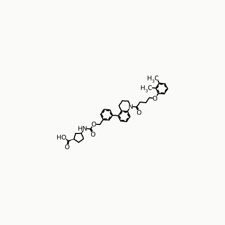 Cc1cccc(OCCCC(=O)N2CCCc3c(-c4cccc(COC(=O)N[C@H]5CC[C@@H](C(=O)O)C5)c4)cccc32)c1C